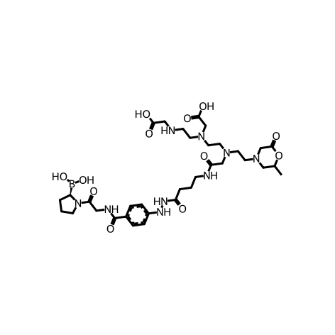 CC1CN(CCN(CCN(CCNCC(=O)O)CC(=O)O)CC(=O)NCCCC(=O)NNc2ccc(C(=O)NCC(=O)N3CCC[C@H]3B(O)O)cc2)CC(=O)O1